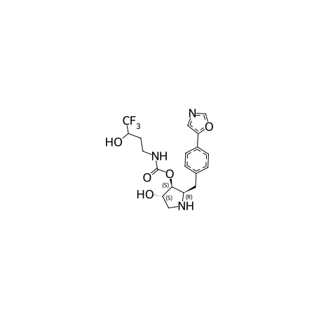 O=C(NCCC(O)C(F)(F)F)O[C@@H]1[C@@H](O)CN[C@@H]1Cc1ccc(-c2cnco2)cc1